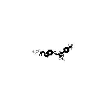 COC(=O)Cn1ccc2cc(OCc3sc(-c4ccc(C(F)(F)F)cc4)nc3C)ccc21